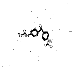 COC(=O)Nc1ccc(C(=O)c2ccc(NC(=O)OC)cc2)cc1